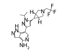 CC(C)n1nc(-c2cnc(N)c3cn[nH]c23)cc1[C@H]1[C@@H]2CN(CC(F)(F)F)C[C@@H]21